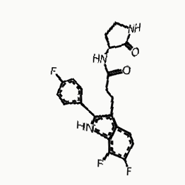 O=C(CCc1c(-c2ccc(F)cc2)[nH]c2c(F)c(F)ccc12)N[C@H]1CCNC1=O